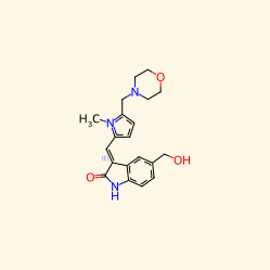 Cn1c(/C=C2/C(=O)Nc3ccc(CO)cc32)ccc1CN1CCOCC1